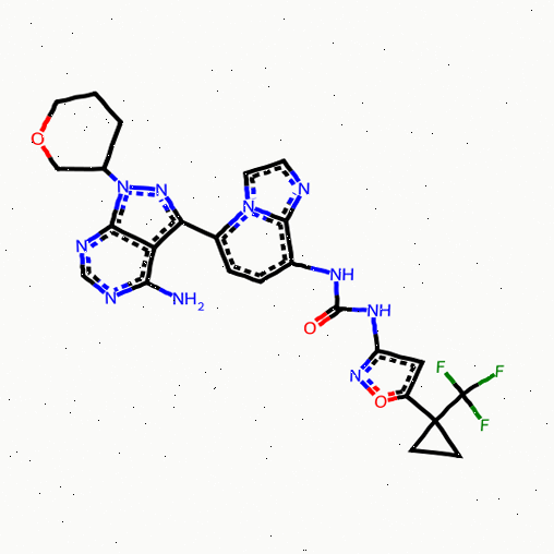 Nc1ncnc2c1c(-c1ccc(NC(=O)Nc3cc(C4(C(F)(F)F)CC4)on3)c3nccn13)nn2C1CCCOC1